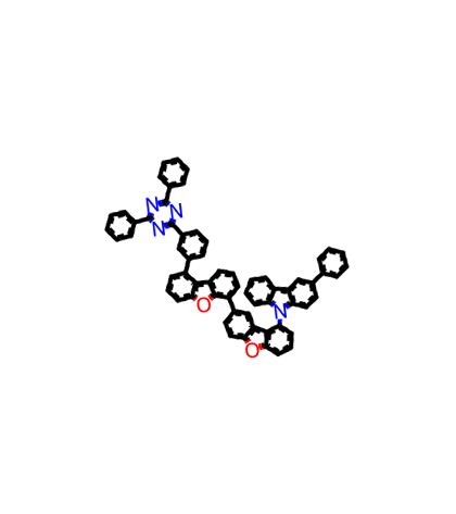 c1ccc(-c2ccc3c(c2)c2ccccc2n3-c2cccc3oc4ccc(-c5cccc6c5oc5cccc(-c7cccc(-c8nc(-c9ccccc9)nc(-c9ccccc9)n8)c7)c56)cc4c23)cc1